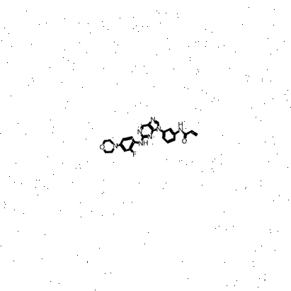 C=CC(=O)Nc1cccc(-n2cnc3cnc(Nc4ccc(N5CCOCC5)cc4F)nc32)c1